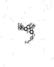 C[C@@H]1Cc2cc(OS(=O)(=O)C(F)(F)F)ccc2[C@@H](c2c(F)cc(OC3CN(CCCF)C3)cc2F)N1CC(C)(F)F